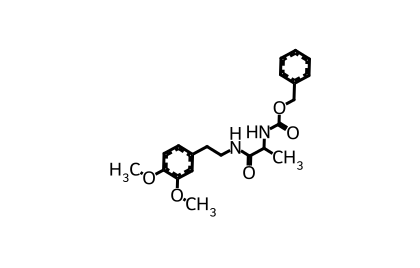 COc1ccc(CCNC(=O)C(C)NC(=O)OCc2ccccc2)cc1OC